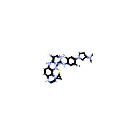 CCc1cc(Nc2ncc(CC)c(Nc3ccc4nccnc4c3N(C)SC3CC3)n2)c(OC)cc1N1CCC(N(C)C)C1